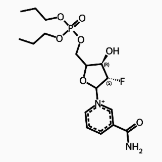 CCCOP(=O)(OCCC)OCC1OC([n+]2cccc(C(N)=O)c2)[C@@H](F)[C@@H]1O